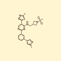 Cc1nnc(-c2cnc(-c3cccc(-c4cnn(C)c4)c3)nc2NCC2CN(S(C)(=O)=O)C2)s1